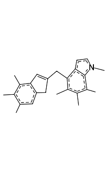 Cc1cc2c(c(C)c1C)C=C(Cc1c(C)c(C)c(C)c3c1ccn3C)C2